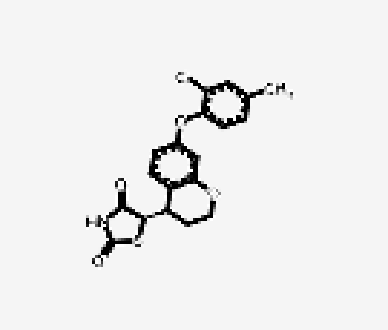 Cc1ccc(Oc2ccc3c(c2)OCCC3[C@H]2SC(=O)NC2=O)c(Cl)c1